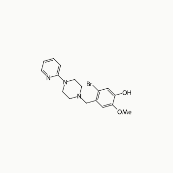 COc1cc(CN2CCN(c3ccccn3)CC2)c(Br)cc1O